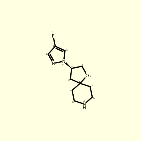 Fc1cnn([C@H]2COC3(CCNCC3)C2)c1